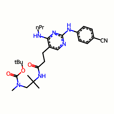 CCCNc1nc(Nc2ccc(C#N)cc2)ncc1CCC(=O)NC(C)(C)CN(C)C(=O)OC(C)(C)C